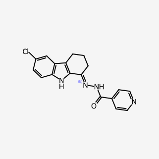 O=C(N/N=C1\CCCc2c1[nH]c1ccc(Cl)cc21)c1ccncc1